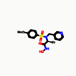 COc1ccc(S(=O)(=O)N(Cc2cccnc2)[C@H](C(=O)NO)C(C)C)cc1